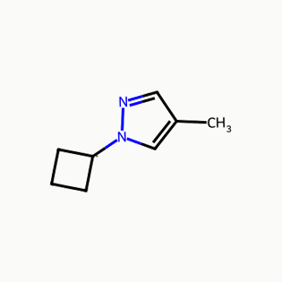 Cc1cnn([C]2CCC2)c1